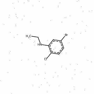 CCNc1cc(Br)ccc1Cl